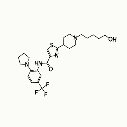 O=C(Nc1cc(C(F)(F)F)ccc1N1CCCC1)c1csc(C2CCN(CCCCCO)CC2)n1